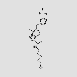 Cc1c(Cc2cccc(C(F)(F)F)c2)cnc2c(C(=O)NCCOCCO)cnn12